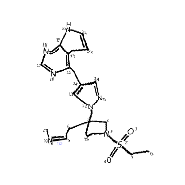 CCS(=O)(=O)N1CC(C/C=N\C)(n2cc(-c3ncnc4[nH]ccc34)cn2)C1